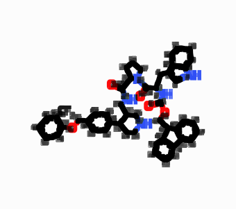 O=C(NC(Cc1c[nH]c2ccccc12)C(=O)N1CCCC1C(=O)NCC1CNCCC1c1ccc(COc2ccccc2C(F)(F)F)cc1)OCC1c2ccccc2-c2ccccc21